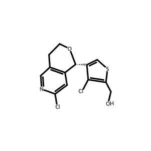 OCc1scc([C@H]2OCCc3cnc(Cl)cc32)c1Cl